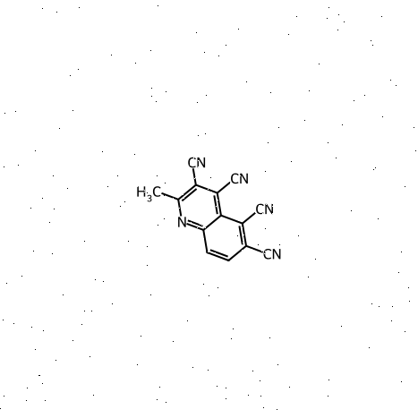 Cc1nc2ccc(C#N)c(C#N)c2c(C#N)c1C#N